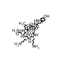 CC(C)C[C@H](NC(=O)[C@H](CCC(N)=O)NC(=O)[C@H](CCCCN)NC(=O)[C@H](CCCCN)NC(=O)CNC(=O)[C@@H](NC(=O)[C@@H](N)Cc1ccc(O)cc1)C(C)C)C(=O)O